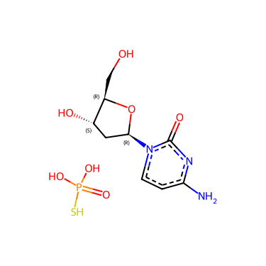 Nc1ccn([C@H]2C[C@H](O)[C@@H](CO)O2)c(=O)n1.O=P(O)(O)S